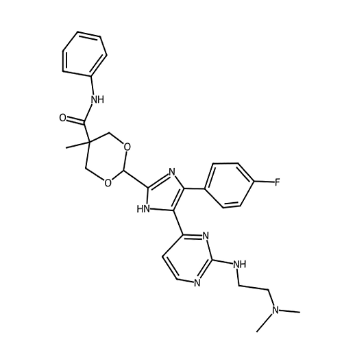 CN(C)CCNc1nccc(-c2[nH]c(C3OCC(C)(C(=O)Nc4ccccc4)CO3)nc2-c2ccc(F)cc2)n1